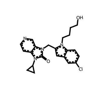 O=c1n(Cc2cc3cc(Cl)ccc3n2CCCCO)c2cnccc2n1C1CC1